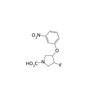 O=C(O)N1CC(F)C(Oc2cccc([N+](=O)[O-])c2)C1